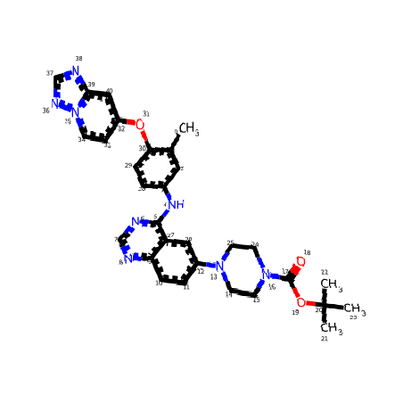 Cc1cc(Nc2ncnc3ccc(N4CCN(C(=O)OC(C)(C)C)CC4)cc23)ccc1Oc1ccn2ncnc2c1